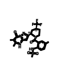 Cc1ccc(NS(C)(=O)=O)c(C(=O)N2CC[C@H](C(F)(F)F)C[C@@H]2c2cc3[nH]c(C)c(C)c(=O)n3n2)c1